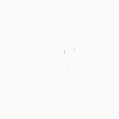 CC(C)(NCC=O)NC(=N)N